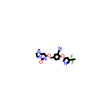 CN1CCn2c1cc(OCc1ccc(Oc3cncc(C(C)(F)F)c3)c(C#N)c1)nc2=O